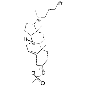 CC(C)CCC[C@@H](C)C1CCC2[C@H]3CC=C4C[C@H](OS(C)(=O)=O)CCC4(C)C3CCC21C